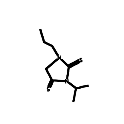 CCCN1CC(=S)N(C(C)C)C1=S